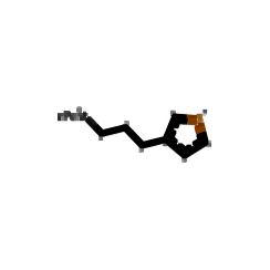 CCCCCCCCc1c[c]sc1